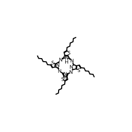 CCCCCCc1cc2c(s1)-c1nc-2nc2[nH]c(nc3nc(nc4[nH]c(n1)c1cc(CCCCCC)sc41)-c1cc(CCCCCC)sc1-3)c1cc(CCCCCC)sc21